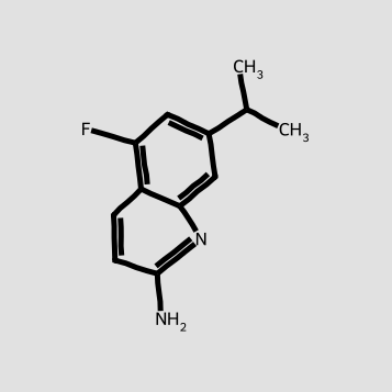 CC(C)c1cc(F)c2ccc(N)nc2c1